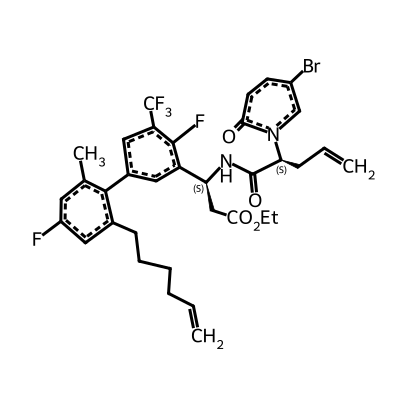 C=CCCCCc1cc(F)cc(C)c1-c1cc([C@H](CC(=O)OCC)NC(=O)[C@H](CC=C)n2cc(Br)ccc2=O)c(F)c(C(F)(F)F)c1